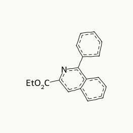 CCOC(=O)c1cc2ccccc2c(-c2ccccc2)n1